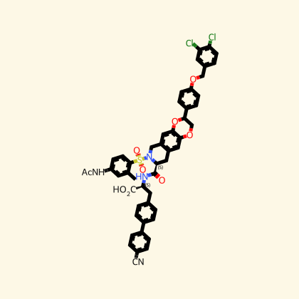 CC(=O)Nc1ccc(S(=O)(=O)N2Cc3cc4c(cc3C[C@H]2C(=O)N[C@@H](Cc2ccc(-c3ccc(C#N)cc3)cc2)C(=O)O)OCC(c2ccc(OCc3ccc(Cl)c(Cl)c3)cc2)O4)c(C)c1